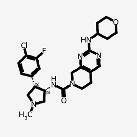 CN1C[C@H](c2ccc(Cl)c(F)c2)[C@H](NC(=O)N2CCc3cnc(NC4CCOCC4)nc3C2)C1